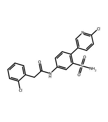 NS(=O)(=O)c1cc(NC(=O)Cc2ccccc2Cl)ccc1-c1ccc(Cl)nc1